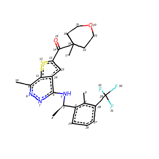 Cc1c([C@@H](C)Nc2nnc(C)c3sc(C(=O)C4(C)CCOCC4)cc23)cccc1C(F)(F)F